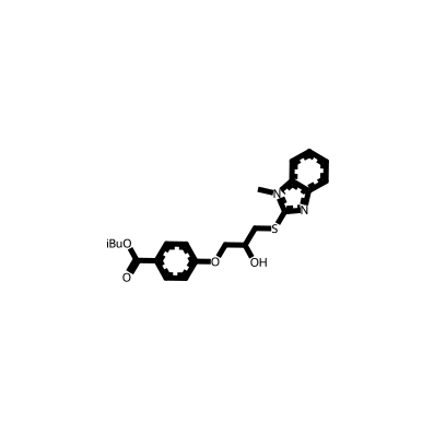 CC(C)COC(=O)c1ccc(OCC(O)CSc2nc3ccccc3n2C)cc1